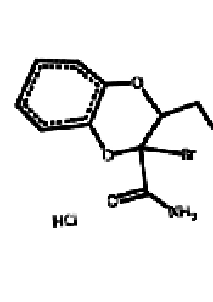 CCC1Oc2ccccc2OC1(Br)C(N)=O.Cl